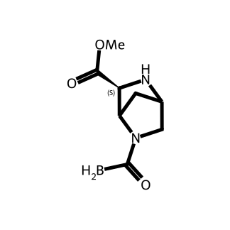 BC(=O)N1CC2CC1[C@@H](C(=O)OC)N2